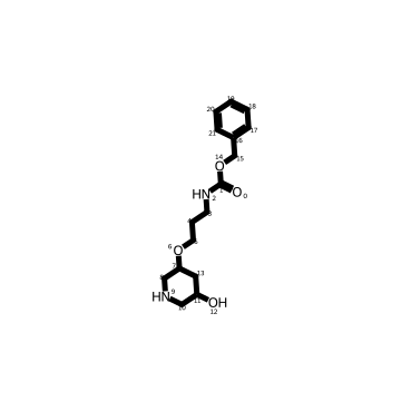 O=C(NCCCOC1CNCC(O)C1)OCc1ccccc1